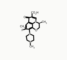 C[C@H]1COc2c(N3CCN(C)CC3)c(F)cc3c(=O)c(C(=O)O)cn1c23.[CH3]